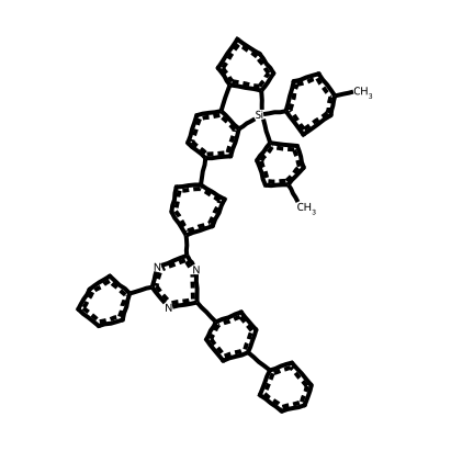 Cc1ccc([Si]2(c3ccc(C)cc3)c3ccccc3-c3ccc(-c4ccc(-c5nc(-c6ccccc6)nc(-c6ccc(-c7ccccc7)cc6)n5)cc4)cc32)cc1